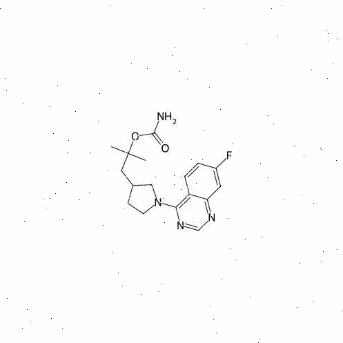 CC(C)(CC1CCN(c2ncnc3cc(F)ccc23)C1)OC(N)=O